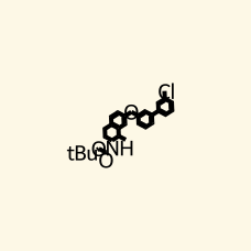 CC1c2cc(Oc3cccc(-c4cccc(Cl)c4)c3)ccc2CCC1NC(=O)OC(C)(C)C